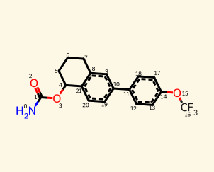 NC(=O)OC1CCCc2cc(-c3ccc(OC(F)(F)F)cc3)ccc21